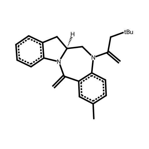 C=C(CC(C)(C)C)N1C[C@@H]2Cc3ccccc3N2C(=C)c2cc(C)ccc21